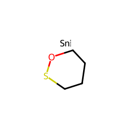 C1CCSOC1.[Sn]